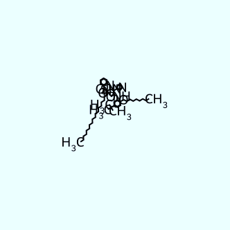 CCCCCCCCCCCCCCCCCCN1C(C(C(=O)Nc2cc(C(C)(C)C)ccc2OCCCCCCCC)n2ccnc2)=Nc2ccccc2S1(=O)=O